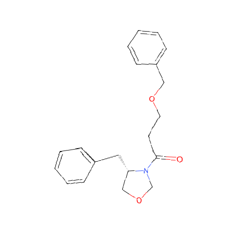 O=C(CCOCc1ccccc1)N1COC[C@@H]1Cc1ccccc1